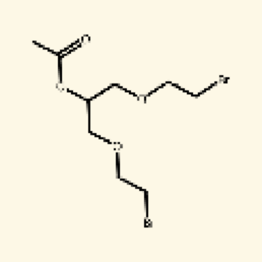 CC(=O)OC(COCCBr)COCCBr